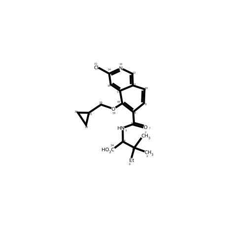 CCC(C)(C)C(NC(=O)c1ccc2cnc(Cl)cc2c1OCC1CC1)C(=O)O